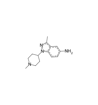 Cc1nn(C2CCN(C)CC2)c2ccc(N)cc12